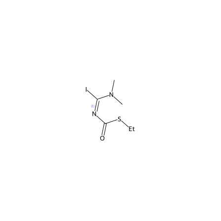 CCSC(=O)/N=C(/I)N(C)C